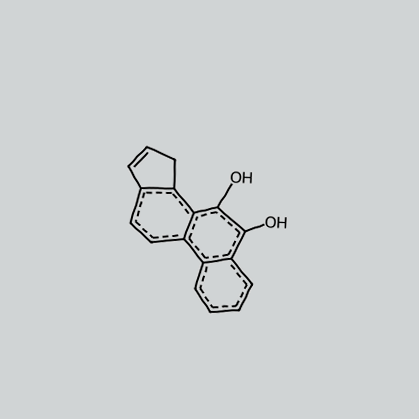 Oc1c(O)c2c3c(ccc2c2ccccc12)C=CC3